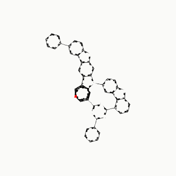 c1ccc(-c2ccc3oc4cc5c(cc4c3c2)c2ccccc2n5-c2ccc3oc4cccc(-c5nc(-c6ccccc6)nc(-c6ccccc6)n5)c4c3c2)cc1